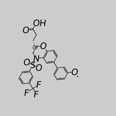 COc1cccc(-c2ccc3c(c2)N(S(=O)(=O)c2cccc(C(F)(F)F)c2)C[C@H](CCC(=O)O)O3)c1